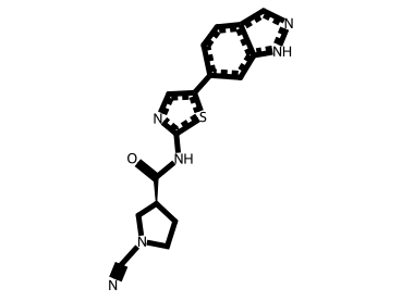 N#CN1CC[C@H](C(=O)Nc2ncc(-c3ccc4cn[nH]c4c3)s2)C1